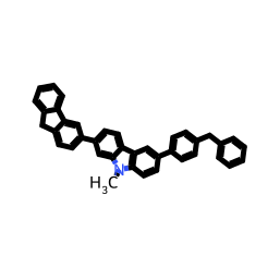 Cn1c2ccc(-c3ccc(Cc4ccccc4)cc3)cc2c2ccc(-c3ccc4c(c3)-c3ccccc3C4)cc21